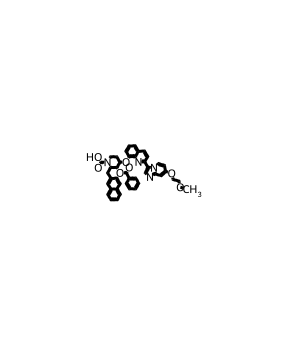 COCCOc1ccn2c(-c3ccc4cccc(OC5CCN(C(=O)O)C(Cc6ccc7ccccc7c6)C5OC(=O)c5ccccc5)c4n3)cnc2c1